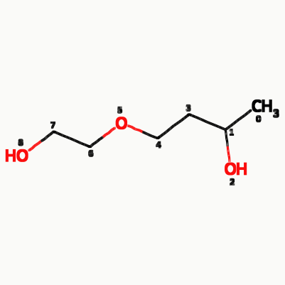 CC(O)CCOCCO